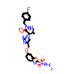 CC(C)C(C(=O)NCc1ccc(F)cc1)n1cc(COc2ccc3nc(S(N)(=O)=O)sc3c2)nn1